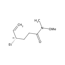 C=C[C@@H](CC)CCC(=O)N(C)OC